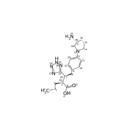 CCC[C@H](C(=O)O)[C@H](Cc1ccc(N2CCC[C@@H](N)C2)cc1)c1nn[nH]n1